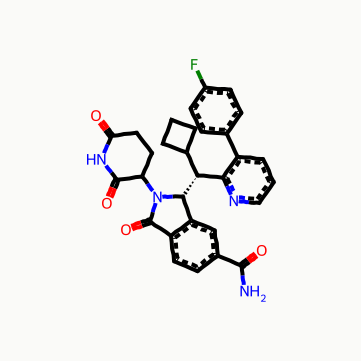 NC(=O)c1ccc2c(c1)C([C@@H](c1ncccc1-c1ccc(F)cc1)C1CCC1)N(C1CCC(=O)NC1=O)C2=O